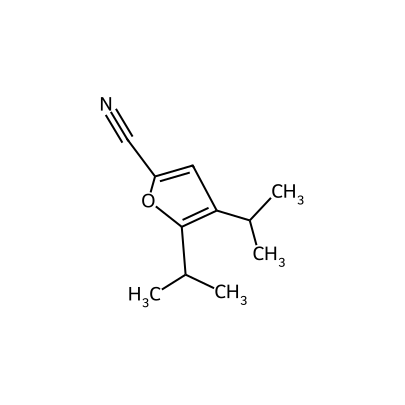 CC(C)c1cc(C#N)oc1C(C)C